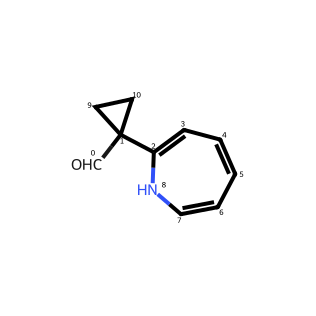 O=CC1(C2=CC=CC=CN2)CC1